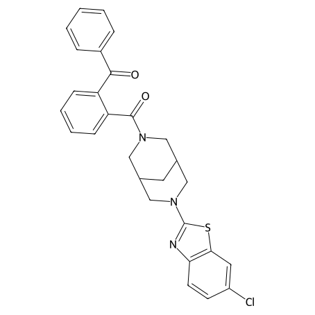 O=C(c1ccccc1)c1ccccc1C(=O)N1CC2CC(C1)CN(c1nc3ccc(Cl)cc3s1)C2